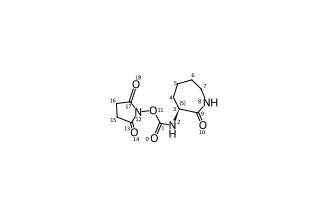 O=C(N[C@H]1CCCCNC1=O)ON1C(=O)CCC1=O